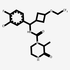 CC1C(=O)NCCN1C(=O)NC(c1ccc(F)c(Cl)c1)C1CC(OCC(F)(F)F)C1